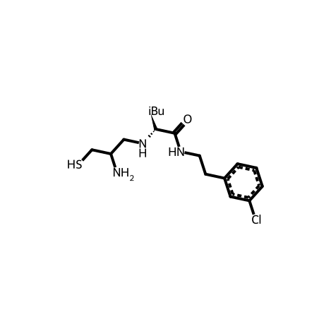 CC[C@H](C)[C@@H](NCC(N)CS)C(=O)NCCc1cccc(Cl)c1